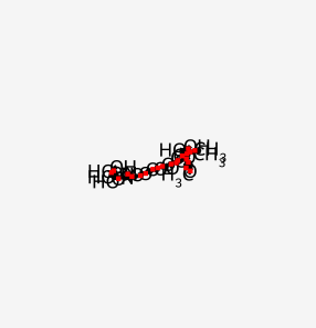 COc1ccc(-c2oc3c(CC=C(C)C)c(O)cc(O)c3c(=O)c2OC(=O)CCC(=O)OCCOCCOCCOCCOCc2cn(CCOC3O[C@@H](CO)[C@H](O)[C@@H](O)[C@@H]3O)nn2)cc1